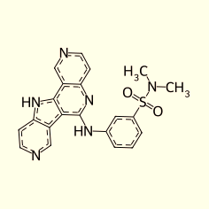 CN(C)S(=O)(=O)c1cccc(Nc2nc3ccncc3c3[nH]c4ccncc4c23)c1